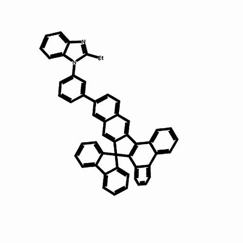 CCc1nc2ccccc2n1-c1cccc(-c2ccc3cc4c(cc3c2)C2(c3ccccc3-c3ccccc32)c2c-4c3ccccc3c3ccccc23)c1